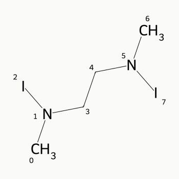 CN(I)CCN(C)I